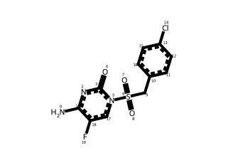 Nc1nc(=O)n(S(=O)(=O)Cc2ccc(Cl)cc2)cc1F